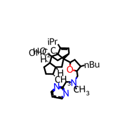 CCCCC1CC(C23C[C@@H]4[C@H](C)CC[C@H]4C4(C=O)CC2C=C(C(C)C)C34C(=O)O)OC1CN(C)Cc1ncccn1